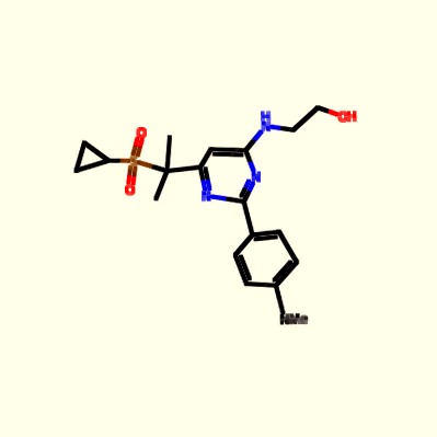 CNc1ccc(-c2nc(NCCO)cc(C(C)(C)S(=O)(=O)C3CC3)n2)cc1